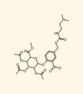 COC(=O)C1OC(Oc2ccc(COC(=O)NCCN(C)C)cc2[N+](=O)[O-])C(OC(C)=O)[C@@H](OC(C)=O)C1OC(C)=O